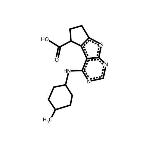 CC1CCC(Nc2ncnc3sc4c(c23)C(C(=O)O)CC4)CC1